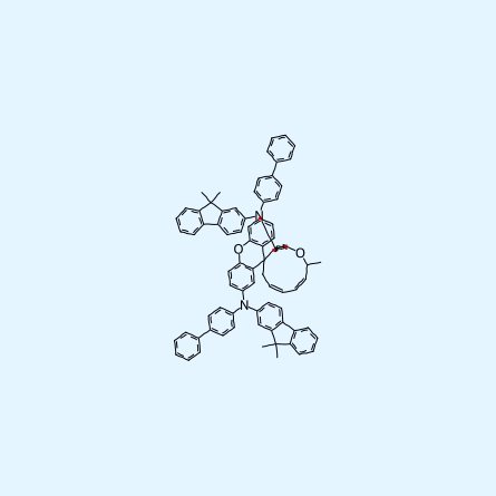 CC1/C=C\C=C/CC2(c3ccccc3Oc3ccc(N(c4ccc(-c5ccccc5)cc4)c4ccc5c(c4)C(C)(C)c4ccccc4-5)cc32)c2cc(N(c3ccc(-c4ccccc4)cc3)c3ccc4c(c3)C(C)(C)c3ccccc3-4)ccc2O1